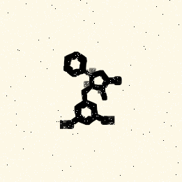 CN1C(=O)C[C@@H](c2ccccc2)[C@@H]1Cc1cc(O)cc(O)c1